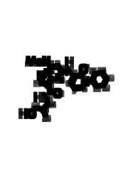 CNc1cc(Nc2cccn(C3CCCCC3)c2=O)nc2c(C(=O)NCC(C)CO)cnn12